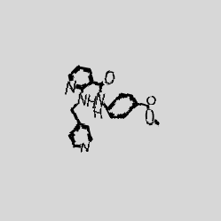 COC(=O)c1ccc(NC(=O)c2cccnc2NCc2ccncc2)cc1